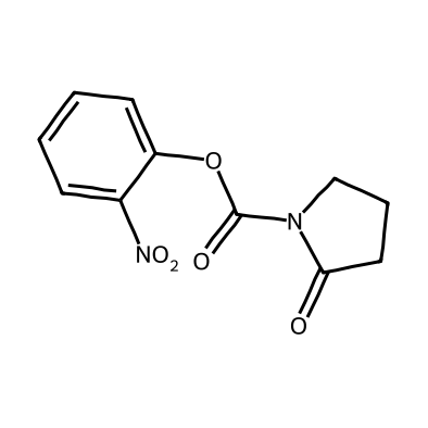 O=C1CCCN1C(=O)Oc1ccccc1[N+](=O)[O-]